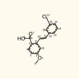 COc1ccc(C(=O)O)c(C=Cc2cccc(Cl)c2)c1